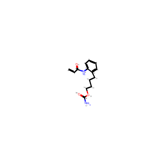 C=CC(=O)Nc1ccccc1CCCCOC(N)=O